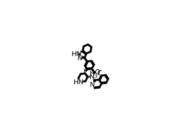 Cc1cccc2ccnc(N(C(=O)c3ccc(-c4n[nH]c5c4CCCC5)cc3F)[C@@H]3CCCNC3)c12